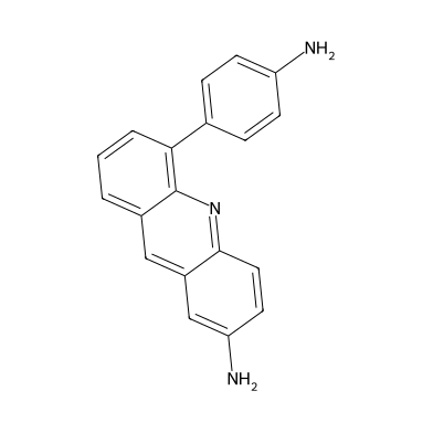 Nc1ccc(-c2cccc3cc4cc(N)ccc4nc23)cc1